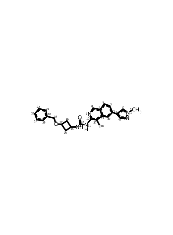 Cn1cc(-c2ccc3cnc(NC(=O)NC4CC(OCc5ccccc5)C4)c(I)c3c2)cn1